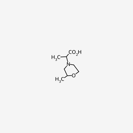 CC1CN(C(C)C(=O)O)CCO1